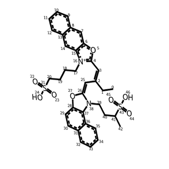 CCC(=Cc1oc2cc3ccccc3cc2[n+]1CCCCS(=O)(=O)O)C=C1Oc2ccc3ccccc3c2N1CCC(C)S(=O)(=O)O